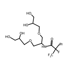 CC(C)C(F)(C(=O)NC(COCC(O)CO)COCC(O)CO)C(F)(F)F